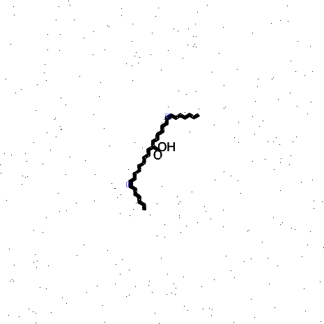 CCCCCC/C=C\CCCCCCCCC(CCCCCC/C=C\CCCCCC)C(=O)O